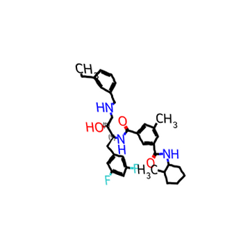 CCc1cccc(CNC[C@@H](O)[C@H](Cc2cc(F)cc(F)c2)NC(=O)c2cc(C)cc(C(=O)NC3CCCCC3C)c2)c1